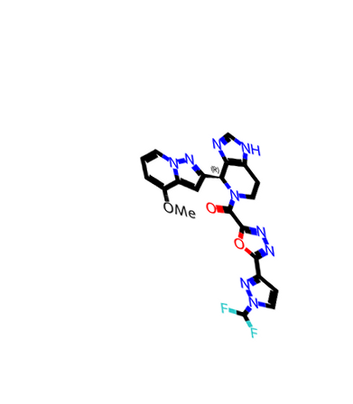 COc1cccn2nc([C@H]3c4nc[nH]c4CCN3C(=O)c3nnc(-c4ccn(C(F)F)n4)o3)cc12